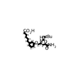 CC(C)(C)OC(=O)N[C@@H](CCC(N)=O)COc1cccc(CCCCCC(=O)O)c1